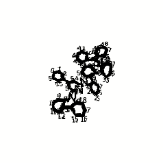 c1ccc(-c2cc(-n3c4ccccc4c4ccccc43)nc(-n3c4ccccc4c4cc([Si](c5ccccc5)(c5ccccc5)c5ccccc5)ccc43)c2)cc1